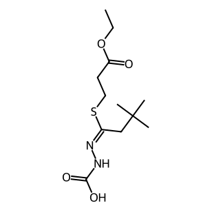 CCOC(=O)CCS/C(CC(C)(C)C)=N/NC(=O)O